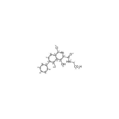 O=C(O)CNC(=O)c1nc(Cl)c2ccc(-c3ccccc3)c(I)c2c1O